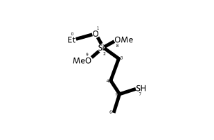 CCO[Si](CCC(C)S)(OC)OC